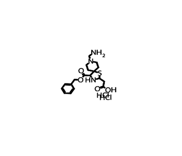 Cl.Cl.NCN1CCC2(CC1)SC(CC(=O)O)NC2C(=O)OCc1ccccc1